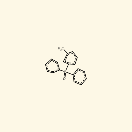 Cc1cccc(P(=O)(c2ccccc2)c2ccccc2)c1